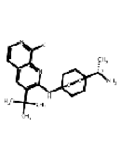 C[C@H](N)C12CCC(Nc3nc4c(Cl)nccc4cc3C(C)(C)C)(CC1)CC2